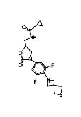 O=C(NCC1CN(c2cc(F)c(N3CC4(CSC4)C3)c(F)c2)C(=O)O1)C1CC1